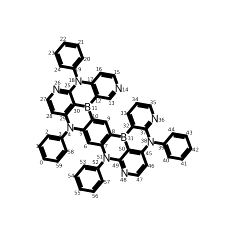 c1ccc(N2c3cc4c(cc3B3c5cnccc5N(c5ccccc5)c5nccc2c53)B2c3cccnc3N(c3ccccc3)c3ccnc(c32)N4c2ccccc2)cc1